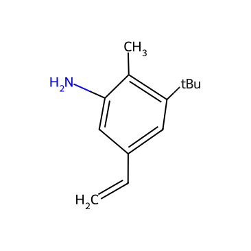 C=Cc1cc(N)c(C)c(C(C)(C)C)c1